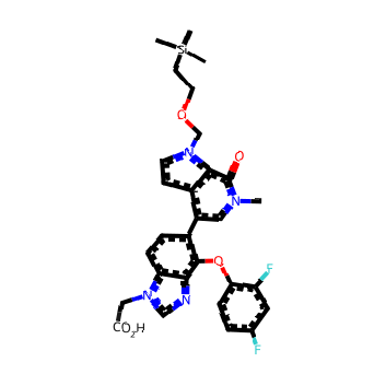 Cn1cc(-c2ccc3c(ncn3CC(=O)O)c2Oc2ccc(F)cc2F)c2ccn(COCC[Si](C)(C)C)c2c1=O